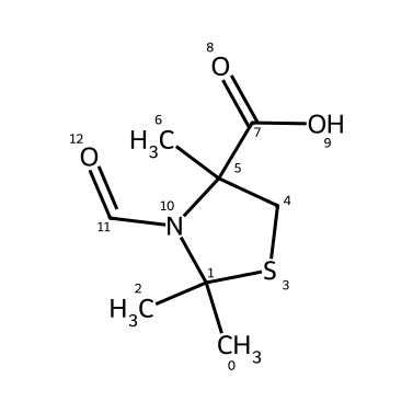 CC1(C)SCC(C)(C(=O)O)N1C=O